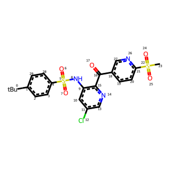 CC(C)(C)c1ccc(S(=O)(=O)Nc2cc(Cl)cnc2C(=O)c2ccc(S(C)(=O)=O)nc2)cc1